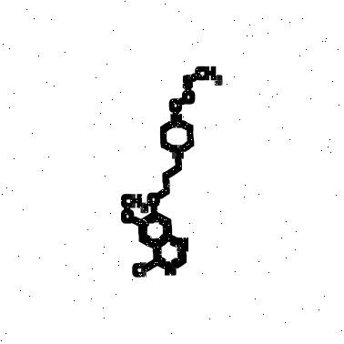 COc1cc2c(Cl)ncnc2cc1OCCCN1CCN(OOSC)CC1